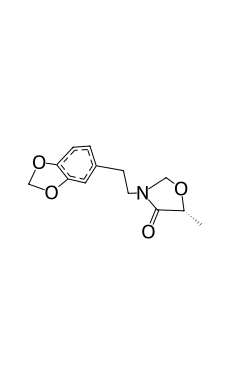 C[C@H]1OCN(CCc2ccc3c(c2)OCO3)C1=O